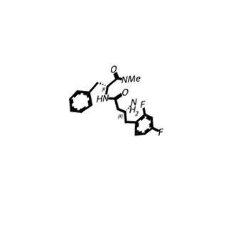 CNC(=O)[C@@H](Cc1ccccc1)NC(=O)C[C@H](N)Cc1ccc(F)cc1F